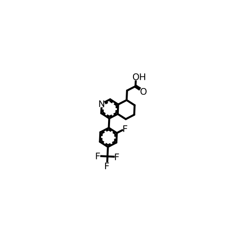 O=C(O)CC1CCCc2c(-c3ccc(C(F)(F)F)cc3F)cncc21